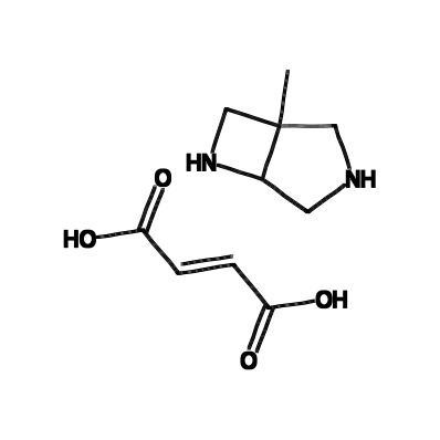 CC12CNCC1NC2.O=C(O)C=CC(=O)O